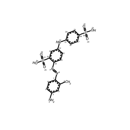 Cc1cc(N)ccc1N=Nc1ccc(Nc2ccc(S(=O)(=O)O)cc2)cc1S(=O)(=O)O